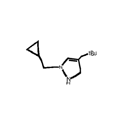 CC(C)(C)C1=CN(CC2CC2)NC1